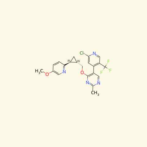 COc1ccc([C@H]2C[C@@H]2COc2nc(C)ncc2-c2cc(Cl)ncc2C(F)(F)F)nc1